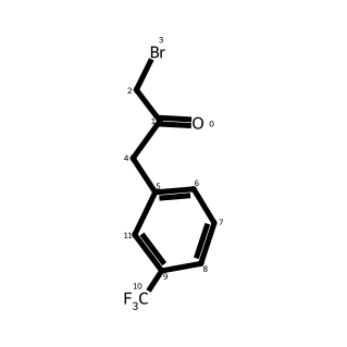 O=C(CBr)Cc1cccc(C(F)(F)F)c1